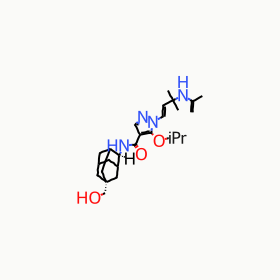 C=C(C)NC(C)(C)/C=C/n1ncc(C(=O)N[C@H]2C3CC4CC2C[C@](CO)(C4)C3)c1OC(C)C